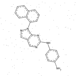 Nc1ccc(Nc2ncc3cnn(-c4cccc5ccccc45)c3n2)cc1